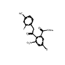 COC(=O)c1cc(F)cc([N+](=O)[O-])c1C(=O)Cc1ccc(C#N)cc1F